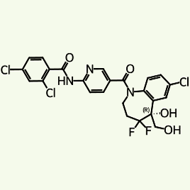 O=C(Nc1ccc(C(=O)N2CCC(F)(F)[C@](O)(CO)c3cc(Cl)ccc32)cn1)c1ccc(Cl)cc1Cl